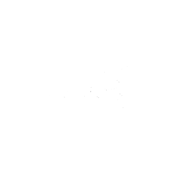 COC(=O)CC1C2CN(c3cc(C(F)(F)F)nc(N4CC(F)(F)C4C)n3)C(=O)C12